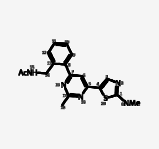 CNc1ncc(-c2cc(-c3ccccc3CNC(C)=O)nc(C)n2)s1